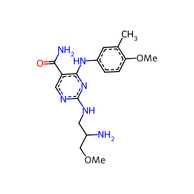 COCC(N)CNc1ncc(C(N)=O)c(Nc2ccc(OC)c(C)c2)n1